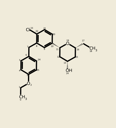 CCOc1ccc(Cc2cc([C@H]3C[C@@H](O)C[C@@H](CC)O3)ccc2Cl)cc1